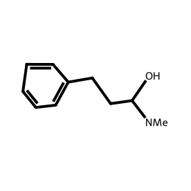 CNC(O)CCc1ccccc1